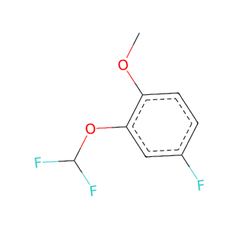 COc1ccc(F)cc1OC(F)F